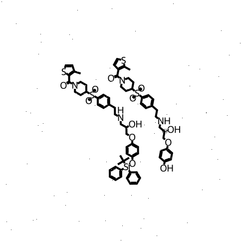 Cc1ccsc1C(=O)N1CCC(S(=O)(=O)c2ccc(CCNCC(O)COc3ccc(O[Si](c4ccccc4)(c4ccccc4)C(C)(C)C)cc3)cc2)CC1.Cc1sccc1C(=O)N1CCC(S(=O)(=O)c2ccc(CCNC[C@H](O)COc3ccc(O)cc3)cc2)CC1